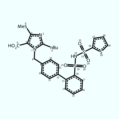 CCCCc1nc(SC)c(C(=O)O)n1Cc1ccc(-c2ccccc2S(=O)(=O)NS(=O)(=O)c2cccs2)cc1